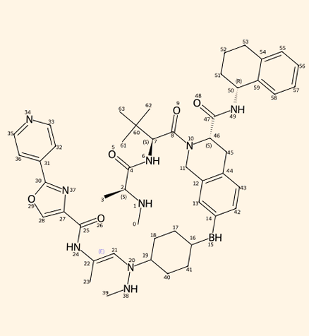 CN[C@@H](C)C(=O)N[C@H](C(=O)N1Cc2cc(BC3CCC(N(/C=C(\C)NC(=O)c4coc(-c5ccncc5)n4)NC)CC3)ccc2C[C@H]1C(=O)N[C@@H]1CCCc2ccccc21)C(C)(C)C